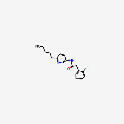 N#CCCCCc1ccc(NC(=O)Cc2ccccc2Cl)cn1